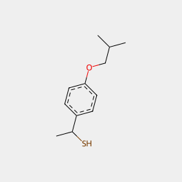 CC(C)COc1ccc(C(C)S)cc1